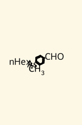 CCCCCC[As](C)c1ccc(C=O)cc1